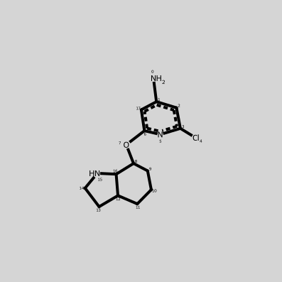 Nc1cc(Cl)nc(OC2CCCC3CCNC32)c1